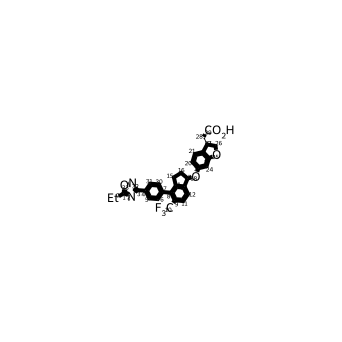 CCc1nc(-c2ccc(-c3c(C(F)(F)F)ccc4c3CCC4Oc3ccc4c(c3)OC[C@H]4CC(=O)O)cc2)no1